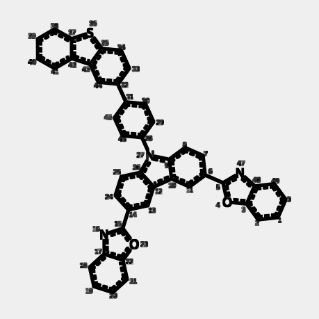 c1ccc2oc(-c3ccc4c(c3)c3cc(-c5nc6ccccc6o5)ccc3n4-c3ccc(-c4ccc5sc6ccccc6c5c4)cc3)nc2c1